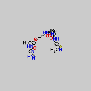 Cc1cc(OCCCCCCC(=O)N[C@H](C(=O)N2CCC[C@H]2C(=O)NCc2ccc(-c3scnc3C)cc2)C(C)(C)C)ccc1NC(=O)c1cccc(-c2ccn[nH]2)n1